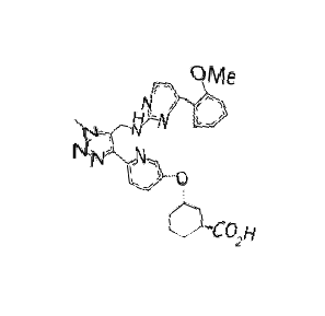 COc1ccccc1-c1ccnc(NCc2c(-c3ccc(O[C@H]4CCC[C@H](C(=O)O)C4)cn3)nnn2C)n1